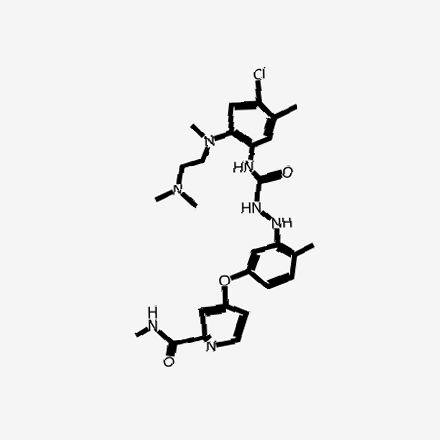 CNC(=O)c1cc(Oc2ccc(C)c(NNC(=O)Nc3cc(C)c(Cl)cc3N(C)CCN(C)C)c2)ccn1